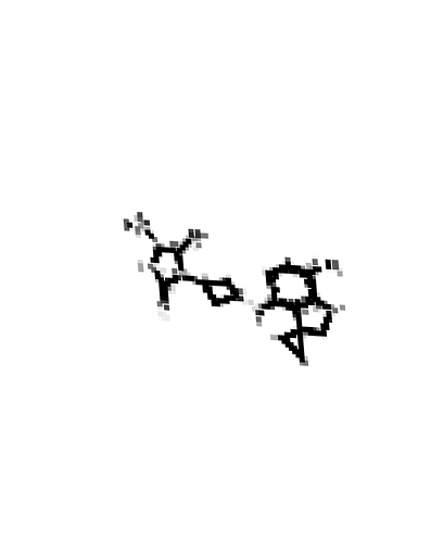 Cc1ccc(O[C@H]2C[C@H](N3C(=O)N[C@H](C)C3O)C2)c2c1OCC21CC1